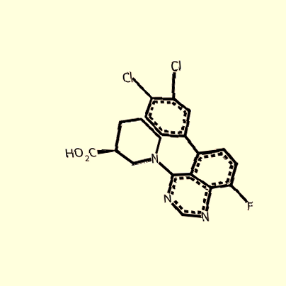 O=C(O)[C@H]1CCCN(c2ncnc3c(F)ccc(-c4ccc(Cl)c(Cl)c4)c23)C1